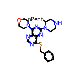 CCCCCC1CNCCN1c1nc(N2CCOCC2)c2ncnc(SCc3ccccc3)c2n1